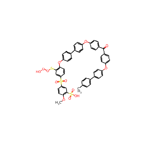 COc1ccc(S(=O)(=O)c2ccc(Oc3ccc(-c4ccc(Oc5ccc(C(=O)c6ccc(Oc7ccc(-c8ccc(C)cc8)cc7)cc6)cc5)cc4)cc3)c(SOOO)c2)cc1S(=O)(=O)O